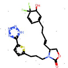 O=C1OCC(C=CCCC2=CC(O)C(F)(F)C=C2)N1CCCc1ccc(-c2nnn[nH]2)s1